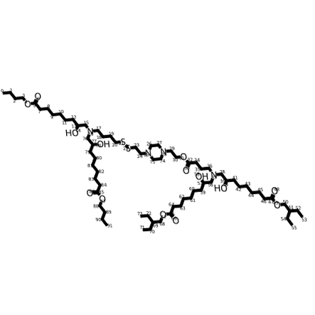 CCCCOC(=O)CCCCCCC(O)CN(CCCCSSCCN1CCN(CCOC(=O)CCCN(CC(O)CCCCCCC(=O)OCC(CC)CC)CC(O)CCCCCCC(=O)OCC(CC)CC)CC1)CC(O)CCCCCCC(=O)OCCCC